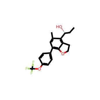 CC[C@@H](O)c1c(C)cc(-c2ccc(OC(F)(F)F)cc2)c2c1CCO2